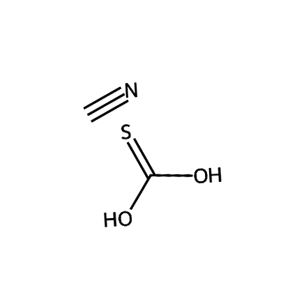 C#N.OC(O)=S